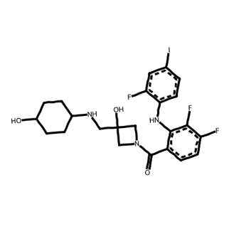 O=C(c1ccc(F)c(F)c1Nc1ccc(I)cc1F)N1CC(O)(CNC2CCC(O)CC2)C1